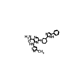 Cc1cc(Nc2nc(N3CCCC(c4ncc(-c5ccccc5)[nH]4)C3)cnc2C(N)=O)sn1